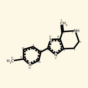 C=C1NCCc2nc(-c3ccc(C)nc3)sc21